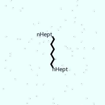 [CH2]CCCCCCCCCC[CH]CCCCCCCC